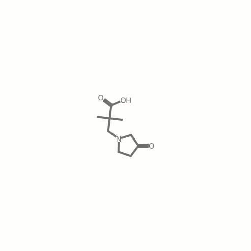 CC(C)(CN1CCC(=O)C1)C(=O)O